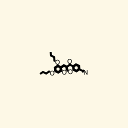 CCCCOc1cc(OCCCC)c2cc(C(=O)c3ccc(C#N)cc3)c(=O)oc2c1